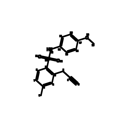 C#CCc1cc(C)ccc1S(=O)(=O)Nc1ccc(OC)cc1